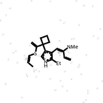 C=C/C(=C\c1c(C2(C(=C)S/C=C\C)CCC2)c[nH]c1CC)NC